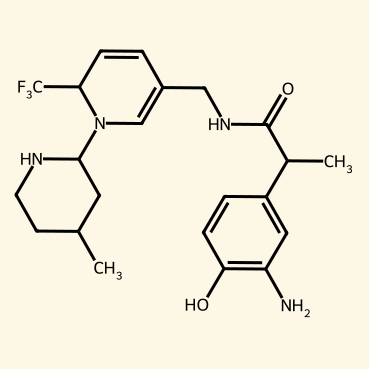 CC1CCNC(N2C=C(CNC(=O)C(C)c3ccc(O)c(N)c3)C=CC2C(F)(F)F)C1